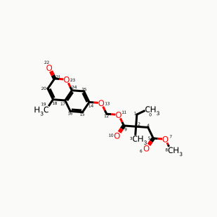 CCC(C)(CC(=O)OC)C(=O)OCOc1ccc2c(C)cc(=O)oc2c1